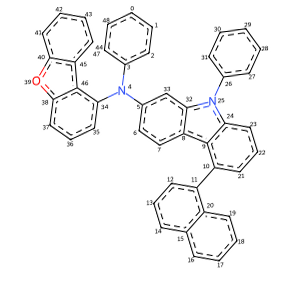 c1ccc(N(c2ccc3c4c(-c5cccc6ccccc56)cccc4n(-c4ccccc4)c3c2)c2cccc3oc4ccccc4c23)cc1